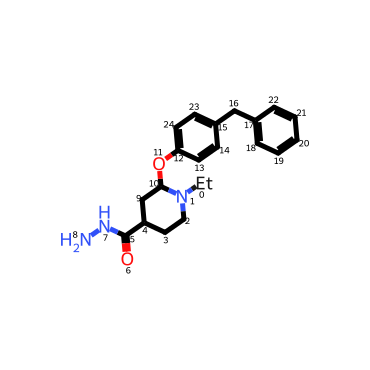 CCN1CCC(C(=O)NN)CC1Oc1ccc(Cc2ccccc2)cc1